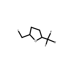 FC(F)(F)C1CCC(CI)O1